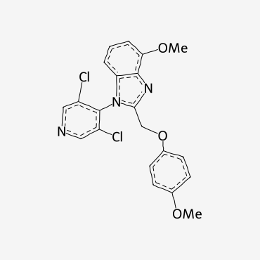 COc1ccc(OCc2nc3c(OC)cccc3n2-c2c(Cl)cncc2Cl)cc1